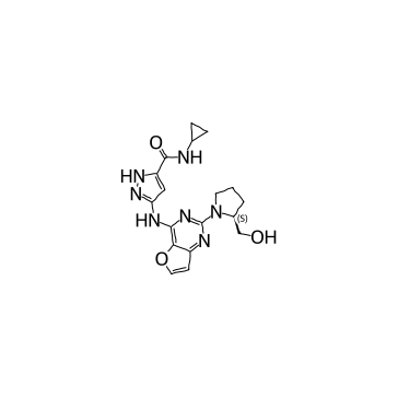 O=C(NC1CC1)c1cc(Nc2nc(N3CCC[C@H]3CO)nc3ccoc23)n[nH]1